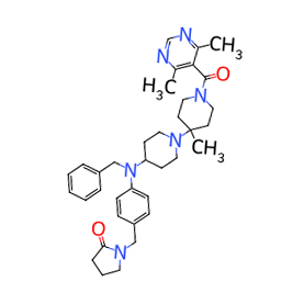 Cc1ncnc(C)c1C(=O)N1CCC(C)(N2CCC(N(Cc3ccccc3)c3ccc(CN4CCCC4=O)cc3)CC2)CC1